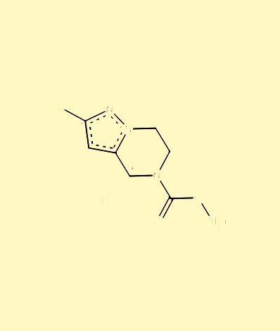 C[C@@H]1c2cc(Br)nn2CCN1C(=O)OC(C)(C)C